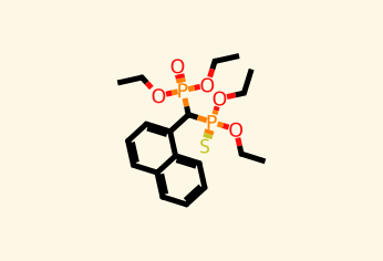 CCOP(=O)(OCC)C(c1cccc2ccccc12)P(=S)(OCC)OCC